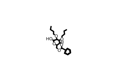 CCCCOC1C(OCCCC)[C@H](O)OC2COC(c3ccccc3)O[C@H]21